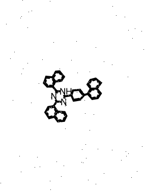 CN1C(c2cccc3ccccc23)N=C(c2cccc3ccccc23)NC1C1C=CC(c2cccc3ccccc23)=CC1